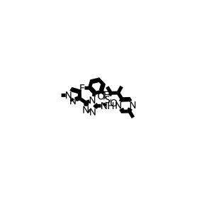 Cc1cnc(C(C)C(C)S(=O)(=O)Nc2nnc(-c3ccn(C)n3)n2-c2c(F)cccc2F)cn1